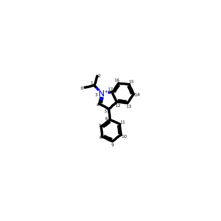 CC(C)[N+]1=CC(c2ccccc2)c2ccccc21